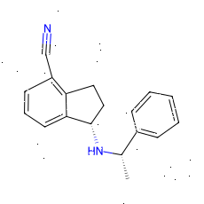 C[C@H](N[C@H]1CCc2c(C#N)cccc21)c1ccccc1